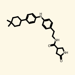 CC1(C)CCC(c2ccc(Nc3ccc(CCNC(=O)C4CNC(=O)C4)cc3)cc2)CC1